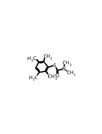 Cc1cc(C)c(C)c(SC(=O)N(C)C)c1C